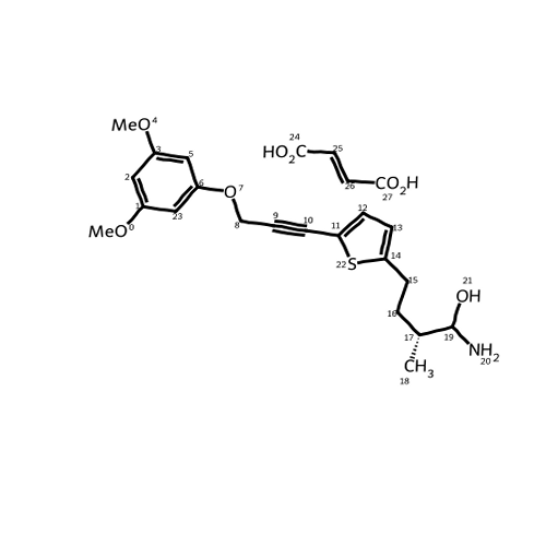 COc1cc(OC)cc(OCC#Cc2ccc(CC[C@@H](C)C(N)O)s2)c1.O=C(O)/C=C/C(=O)O